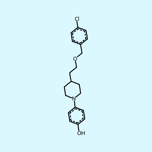 Oc1ccc(N2CCC(CCOCc3ccc(Cl)cc3)CC2)cc1